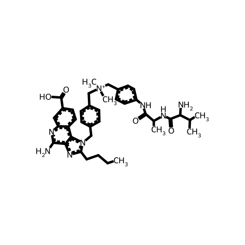 CCCCc1nc2c(N)nc3cc(C(=O)O)ccc3c2n1Cc1ccc(C[N+](C)(C)Cc2ccc(NC(=O)C(C)NC(=O)C(N)C(C)C)cc2)cc1